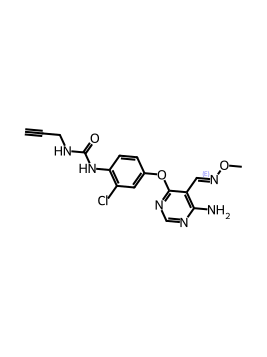 C#CCNC(=O)Nc1ccc(Oc2ncnc(N)c2/C=N/OC)cc1Cl